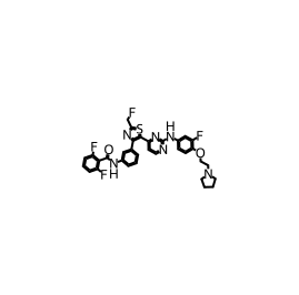 O=C(Nc1cccc(-c2nc(CF)sc2-c2ccnc(Nc3ccc(OCCN4CCCC4)c(F)c3)n2)c1)c1c(F)cccc1F